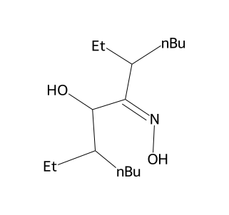 [CH2]CCCC(CC)C(=NO)C(O)C(CC)CCC[CH2]